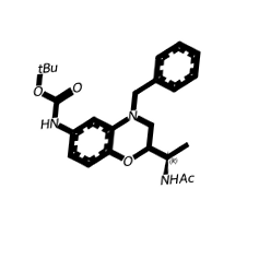 CC(=O)N[C@H](C)C1CN(Cc2ccccc2)c2cc(NC(=O)OC(C)(C)C)ccc2O1